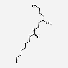 CC(C)CCCC(C)CCSC(=O)CCCCCCCI